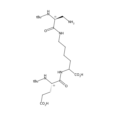 CC(C)(C)N[C@@H](CN)C(=O)NCCCCC(NC(=O)[C@H](CCC(=O)O)NC(C)(C)C)C(=O)O